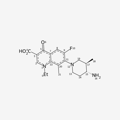 CCn1cc(C(=O)O)c(=O)c2cc(F)c(N3CC[C@@H](N)[C@H](C)C3)c(C)c21